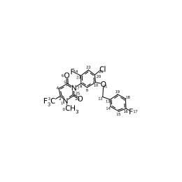 Cn1c(C(F)(F)F)cc(=O)n(-c2cc(OCc3ccc(F)cc3)c(Cl)cc2F)c1=O